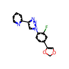 Fc1cc(C2=COCO2)ccc1-n1cc(-c2ccccn2)nn1